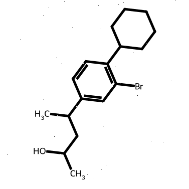 CC(O)CC(C)c1ccc(C2CCCCC2)c(Br)c1